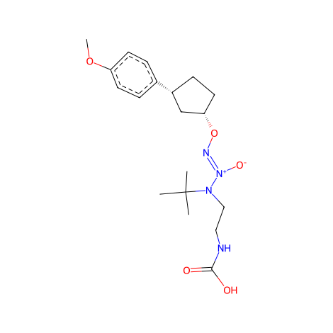 COc1ccc([C@@H]2CC[C@H](O/N=[N+](\[O-])N(CCNC(=O)O)C(C)(C)C)C2)cc1